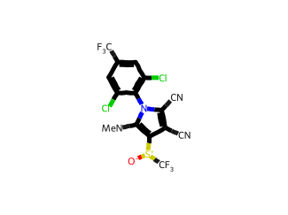 CNc1c([S+]([O-])C(F)(F)F)c(C#N)c(C#N)n1-c1c(Cl)cc(C(F)(F)F)cc1Cl